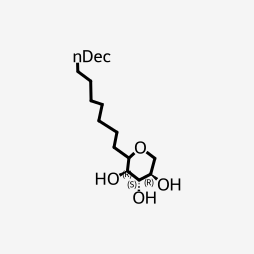 CCCCCCCCCCCCCCCCCC1OC[C@@H](O)[C@H](O)[C@H]1O